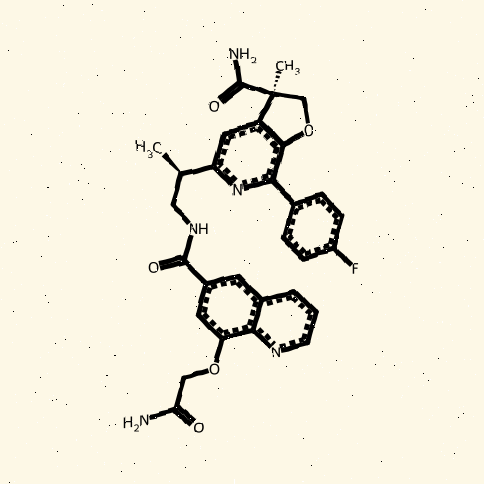 C[C@H](CNC(=O)c1cc(OCC(N)=O)c2ncccc2c1)c1cc2c(c(-c3ccc(F)cc3)n1)OC[C@]2(C)C(N)=O